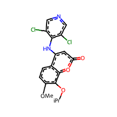 COc1ccc2c(Nc3c(Cl)cncc3Cl)cc(=O)oc2c1OC(C)C